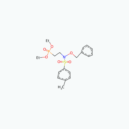 CCOP(=O)(CCN(OCc1ccccc1)S(=O)(=O)c1ccc(C)cc1)OCC